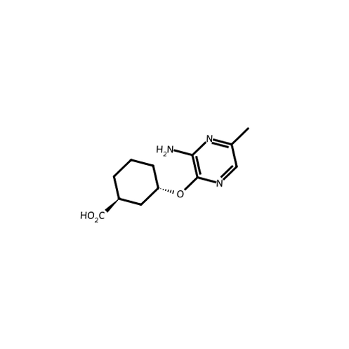 Cc1cnc(O[C@H]2CCC[C@H](C(=O)O)C2)c(N)n1